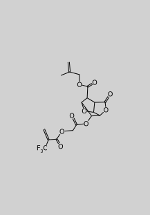 C=C(C)COC(=O)C1C2OC3C(OC(=O)C31)C2OC(=O)COC(=O)C(=C)C(F)(F)F